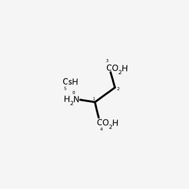 NC(CC(=O)O)C(=O)O.[CsH]